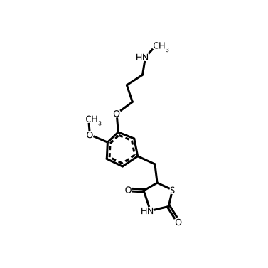 CNCCCOc1cc(CC2SC(=O)NC2=O)ccc1OC